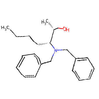 CCCC[C@H]([C@H](C)O)N(Cc1ccccc1)Cc1ccccc1